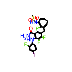 CS(=O)(=O)NC1=C(F)C(Cc2cc(C(N)=O)c(Nc3ccc(I)cc3F)c(F)c2F)=CCC#C1